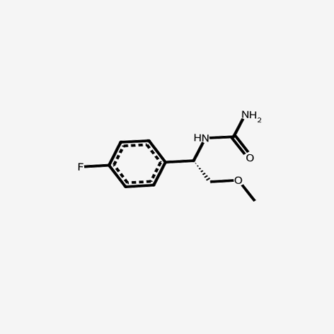 COC[C@@H](NC(N)=O)c1ccc(F)cc1